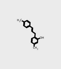 Cc1ccc(/C=C/Cc2ccc(C)cc2O)cc1